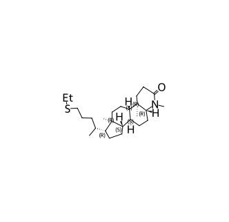 CCSCCCC(C)[C@H]1CC[C@H]2[C@@H]3CC[C@H]4N(C)C(=O)CC[C@]4(C)[C@H]3CC[C@]12C